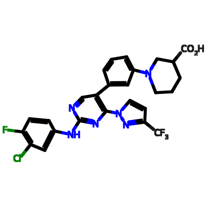 O=C(O)C1CCCN(c2cccc(-c3cnc(Nc4ccc(F)c(Cl)c4)nc3-n3ccc(C(F)(F)F)n3)c2)C1